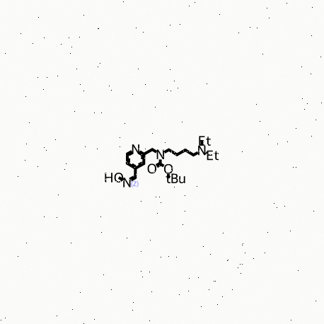 CCN(CC)CCCCN(Cc1cc(/C=N\O)ccn1)C(=O)OC(C)(C)C